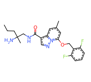 CCCC(C)(N)CNC(=O)c1cnn2c(OCc3c(F)cccc3F)cc(C)cc12